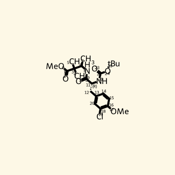 COC(=O)C(C)(C)C(C)NC(=O)[C@@H](Cc1ccc(OC)c(Cl)c1)NC(=O)OC(C)(C)C